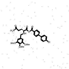 CCc1ccc(-c2ccc(C(=O)OC(=O)[C@H](CCC(N)=O)NCc3cc(OC)c(OC)c(OC)c3)cc2)cc1